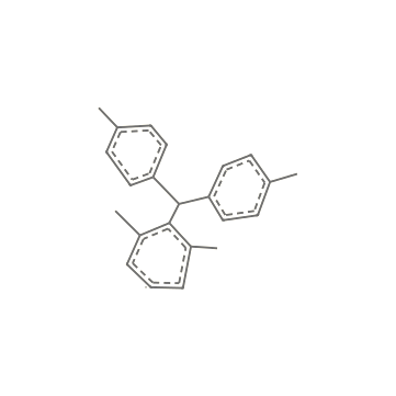 Cc1ccc(C(c2ccc(C)cc2)c2c(C)c[c]cc2C)cc1